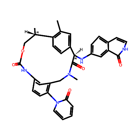 Cc1cc2ccc1[C@@H](C)COC(=O)Nc1ccc(-n3ccccc3=O)c(c1)CN(C)C(=O)[C@@H]2Nc1ccc2cc[nH]c(=O)c2c1